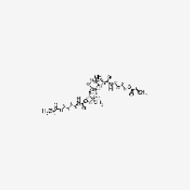 C=CC(=O)OCCCCNC(=O)OCC1(C)CC2CC(C1)C1CC(C)(COC(=O)NCCCCOC(=O)C=C)CCC21